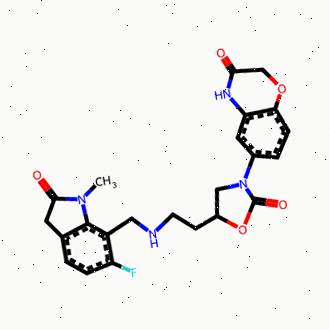 CN1C(=O)Cc2ccc(F)c(CNCCC3CN(c4ccc5c(c4)NC(=O)CO5)C(=O)O3)c21